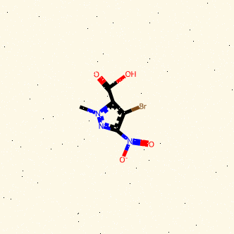 Cn1nc([N+](=O)[O-])c(Br)c1C(=O)O